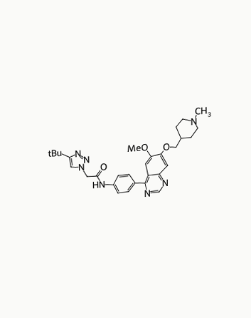 COc1cc2c(-c3ccc(NC(=O)Cn4cc(C(C)(C)C)nn4)cc3)ncnc2cc1OCC1CCN(C)CC1